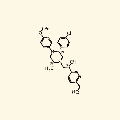 CCCOc1ccc(N2C[C@@H](C)N(C[C@@H](O)c3ccc(CO)nc3)C[C@H]2c2ccc(Cl)cc2)cc1